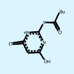 CCC(C)C(=O)Sc1nc(O)cc(=O)[nH]1